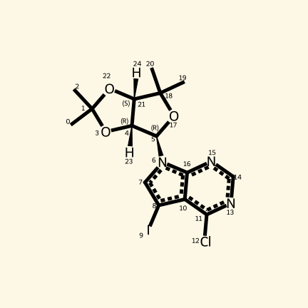 CC1(C)O[C@H]2[C@H](n3cc(I)c4c(Cl)ncnc43)OC(C)(C)[C@H]2O1